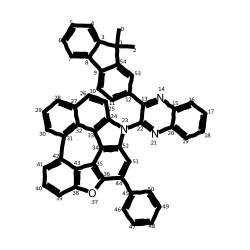 CC1(C)c2ccccc2-c2ccc(-c3nc4ccccc4nc3-n3c4ccc5cccc6c5c4c4c5c(oc7cccc-6c75)c(-c5ccccc5)cc43)cc21